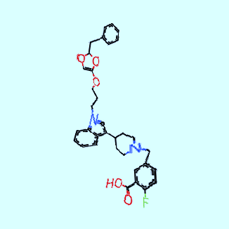 O=C(O)c1cc(CN2CCC(c3cn(CCCOC4=COC(Cc5ccccc5)O4)c4ccccc34)CC2)ccc1F